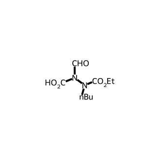 CCCCN(C(=O)OCC)N(C=O)C(=O)O